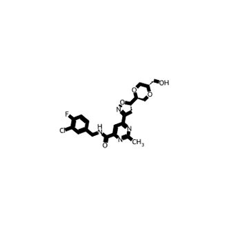 Cc1nc(C(=O)NCc2ccc(F)c(Cl)c2)cc(C2=NO[C@H]([C@@H]3CO[C@@H](CO)CO3)C2)n1